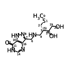 CSC[C@@H](CNCc1n[nH]c2c(=O)[nH]cnc12)[C@@H](O)CO